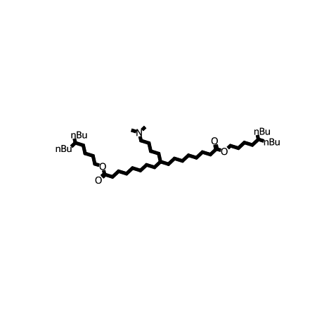 CCCCC(CCCC)CCCCOC(=O)CCCCCCCC(CCCCCCCC(=O)OCCCCC(CCCC)CCCC)CCCCN(C)C